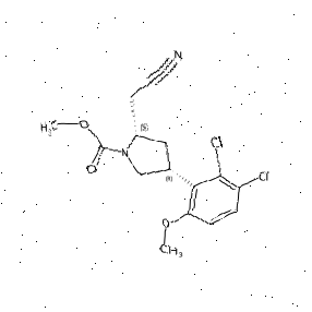 COC(=O)N1C[C@@H](c2c(OC)ccc(Cl)c2Cl)C[C@H]1CC#N